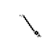 CCCCCCCCCCCCCCCCOc1ccc(OC([O])=O)cc1